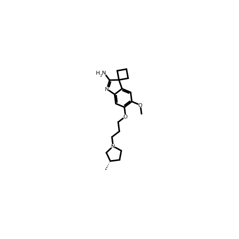 COc1cc2c(cc1OCCCN1CC[C@H](C)C1)N=C(N)C21CCC1